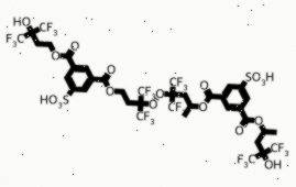 CC(CC(O)(C(F)(F)F)C(F)(F)F)OC(=O)c1cc(C(=O)OC(C)CC(OOC(CCOC(=O)c2cc(C(=O)OCCC(O)(C(F)(F)F)C(F)(F)F)cc(S(=O)(=O)O)c2)(C(F)(F)F)C(F)(F)F)(C(F)(F)F)C(F)(F)F)cc(S(=O)(=O)O)c1